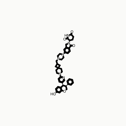 O=C1CC[C@@H](N2Cc3cc(N4CCN(CC5CC6(CCN(c7ccc([C@@H]8c9ccc(O)cc9OC[C@@H]8c8ccccc8)cn7)CC6)C5)CC4)ccc3C2=O)C(=O)N1